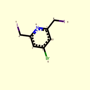 Brc1cc(CI)nc(CI)c1